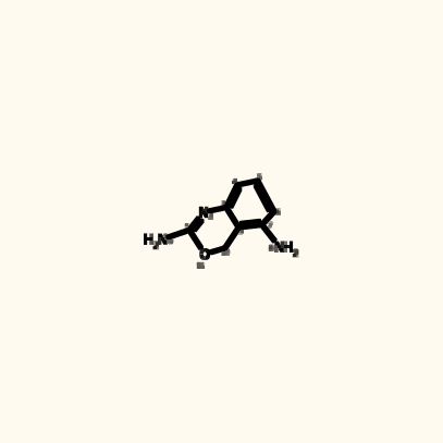 NC1=Nc2cccc(N)c2CO1